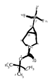 CC(C)(C)OC(=O)N1CC2C(C1)C2[B-](F)(F)F